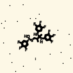 CC(CSP(O)c1cc(F)c(F)c(F)c1)C(C)(Pc1cc(F)c(F)c(F)c1)Pc1cc(F)c(F)c(F)c1